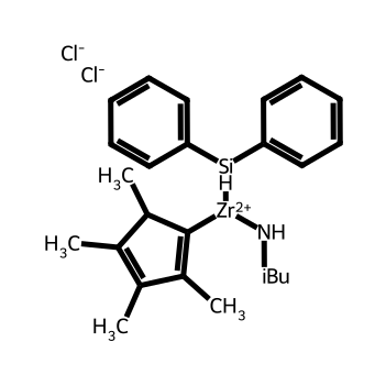 CCC(C)[NH][Zr+2]([C]1=C(C)C(C)=C(C)C1C)[SiH](c1ccccc1)c1ccccc1.[Cl-].[Cl-]